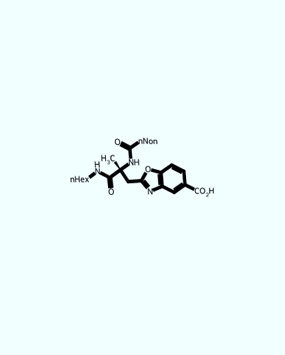 CCCCCCCCCC(=O)N[C@](C)(Cc1nc2cc(C(=O)O)ccc2o1)C(=O)NCCCCCC